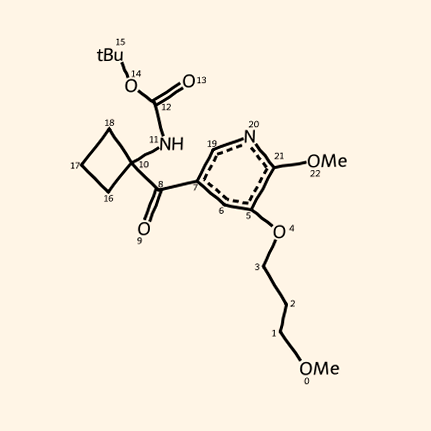 COCCCOc1cc(C(=O)C2(NC(=O)OC(C)(C)C)CCC2)cnc1OC